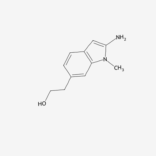 Cn1c(N)cc2ccc(CCO)cc21